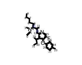 C=CN(C)C(=C\CCCC)/C(C)=C/c1nccc(Oc2ccc(C)cc2F)c1C(C)CC